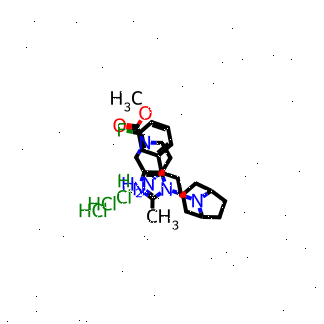 COC(=O)N1CCc2c(nc(C)n2C2CC3CCC(C2)N3CC[C@H](N)c2cccc(F)c2)C1.Cl.Cl.Cl